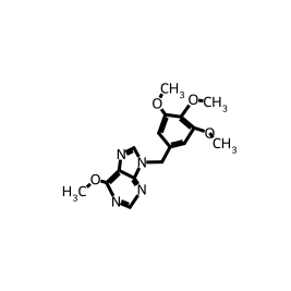 COc1cc(Cn2cnc3c(OC)ncnc32)cc(OC)c1OC